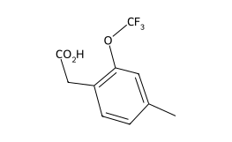 Cc1ccc(CC(=O)O)c(OC(F)(F)F)c1